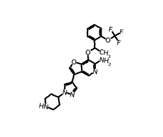 CC(Oc1c(N)ncc2c(-c3cnn(C4CCNCC4)c3)coc12)c1ccccc1OC(F)(F)F